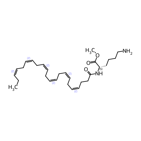 CC/C=C\C/C=C\C/C=C\C/C=C\C/C=C\C/C=C\CCC(=O)N[C@@H](CCCCN)C(=O)OC